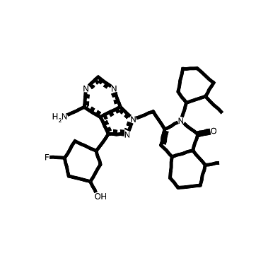 CC1CCCC2C=C(Cn3nc(C4CC(O)CC(F)C4)c4c(N)ncnc43)N(C3CCCCC3C)C(=O)C12